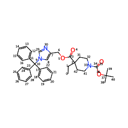 CCC1(C(=O)OCc2cn(C(c3ccccc3)(c3ccccc3)c3ccccc3)cn2)CCN(C(=O)OC(C)(C)C)CC1